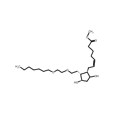 CCCCCCCOCCOCC[C@H]1[C@H](O)CC(O)[C@@H]1C/C=C\CCCC(=O)OC